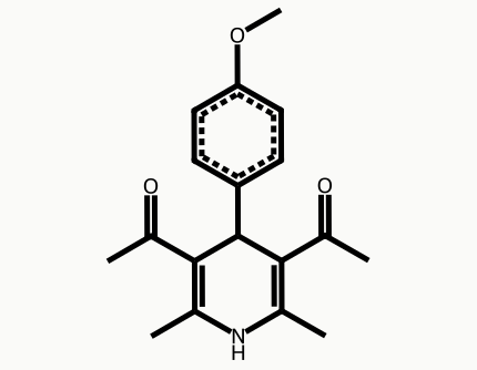 COc1ccc(C2C(C(C)=O)=C(C)NC(C)=C2C(C)=O)cc1